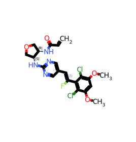 C=CC(=O)N[C@H]1COC[C@H]1Nc1ncc(/C=C(\F)c2c(Cl)c(OC)cc(OC)c2Cl)cn1